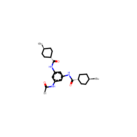 CCC(=O)Nc1cc(NC(=O)[C@H]2CC[C@H](C(C)(C)C)CC2)cc(NC(=O)[C@H]2CC[C@H](C(C)(C)C)CC2)c1